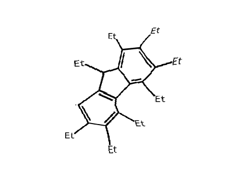 CCc1[c]c2c(c(CC)c1CC)-c1c(CC)c(CC)c(CC)c(CC)c1C2CC